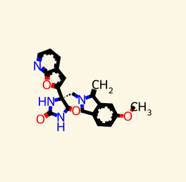 C=C1c2cc(OC)ccc2CN1C[C@@]1(c2cc3cccnc3o2)NC(=O)NC1=O